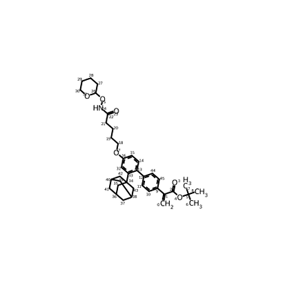 C=C(C(=O)OC(C)(C)C)c1ccc(-c2ccc(OCCCCC(=O)NOC3CCCCO3)cc2C23CC4CC(CC(C4)C2)C3)cc1